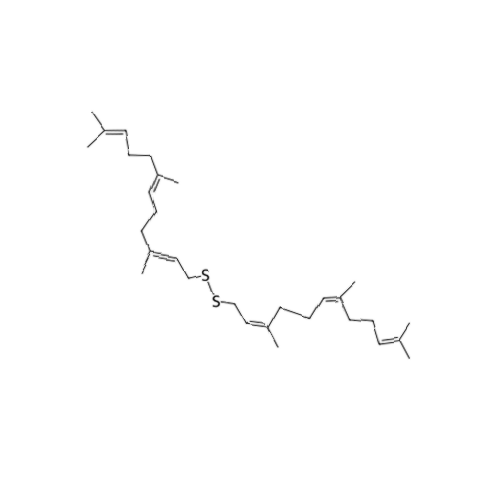 CC(C)=CCCC(C)=CCCC(C)=CCSSCC=C(C)CCC=C(C)CCC=C(C)C